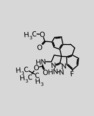 COC(=O)c1ccc2c(c1)C(CCNC(=O)OC(C)(C)C)(c1nn[nH]n1)c1cc(F)ccc1CC2